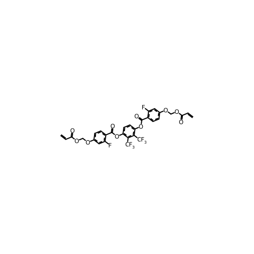 C=CC(=O)OCOc1ccc(C(=O)Oc2ccc(OC(=O)c3ccc(OCOC(=O)C=C)cc3F)c(C(F)(F)F)c2C(F)(F)F)c(F)c1